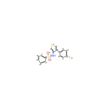 O=S(=O)(Nc1cscc1-c1ccc(F)cc1)c1ccccc1